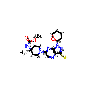 CC1(NC(=O)OC(C)(C)C)CCN(c2cnc3c(S)nn(C4CCCCO4)c3n2)CC1